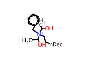 CCCCCCCCCCCC[N+](Cc1ccccc1)(C(C)O)C(C)O